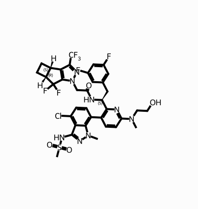 CN(CCO)c1ccc(-c2ccc(Cl)c3c(NS(C)(=O)=O)nn(C)c23)c([C@H](Cc2cc(F)cc(F)c2)NC(=O)Cn2nc(C(F)(F)F)c3c2C(F)(F)[C@@H]2CC[C@H]32)n1